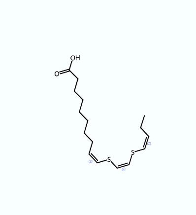 CC/C=C\S/C=C\S/C=C\CCCCCCCC(=O)O